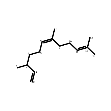 C=CC(C)CC/C=C(/C)CCC=C(C)C